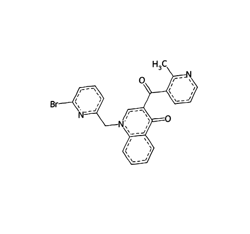 Cc1ncccc1C(=O)c1cn(Cc2cccc(Br)n2)c2ccccc2c1=O